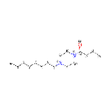 CCCCCCCCN1CCN(C(=O)CCC)CC1